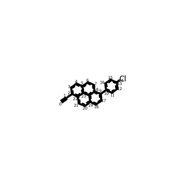 C#Cc1ccc2ccc3c(-c4ccc(Cl)cc4)ccc4ccc1c2c43